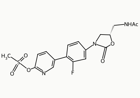 CC(=O)NC[C@H]1CN(c2ccc(-c3ccc(OS(C)(=O)=O)nc3)c(F)c2)C(=O)O1